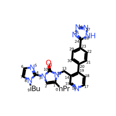 CCCc1cn(-c2nccn2C(C)CC)c(=O)n1Cc1cnccc1-c1ccc(-c2nnn[nH]2)cc1